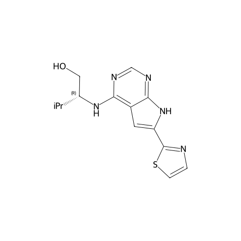 CC(C)[C@H](CO)Nc1ncnc2[nH]c(-c3nccs3)cc12